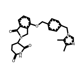 Cc1ncn(Cc2ccc(COc3cccc4c3CN(C3CCC(=O)NC3=O)C4=O)cc2)c1C